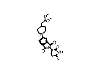 COC(CC1CCN(c2ccc3c(c2)C(=O)N(C2CCC(=O)NC2=O)C3=O)CC1)OC